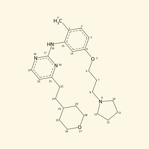 Cc1ccc(OCCCN2CCCC2)cc1Nc1nccc(CCC2CCOCC2)n1